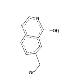 N#CCc1ccc2ncnc(O)c2c1